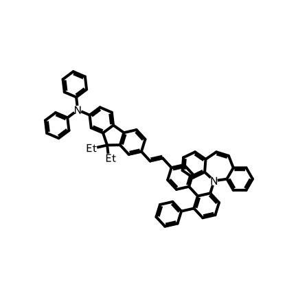 CCC1(CC)c2cc(/C=C/c3ccc(-c4c(-c5ccccc5)cccc4N4c5ccccc5C=Cc5ccccc54)cc3)ccc2-c2ccc(N(c3ccccc3)c3ccccc3)cc21